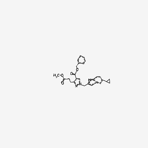 COC(=O)CCc1nn(Cc2cn3cc(C4CC4)ccc3n2)cc1C(=O)OCc1ccccc1